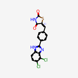 O=C1NC(=O)/C(=C\c2ccc(-c3nc4c(Cl)c(Cl)ccc4[nH]3)cc2)S1